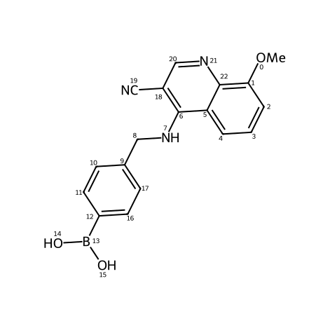 COc1cccc2c(NCc3ccc(B(O)O)cc3)c(C#N)cnc12